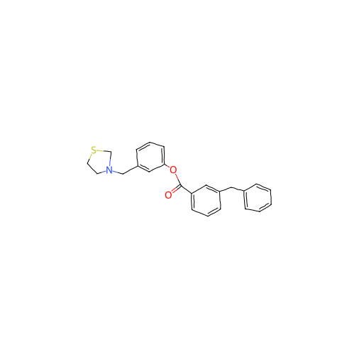 O=C(Oc1cccc(CN2CCSC2)c1)c1cccc(Cc2ccccc2)c1